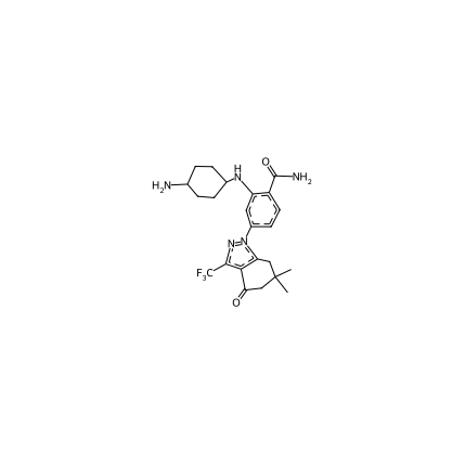 CC1(C)CC(=O)c2c(C(F)(F)F)nn(-c3ccc(C(N)=O)c(NC4CCC(N)CC4)c3)c2C1